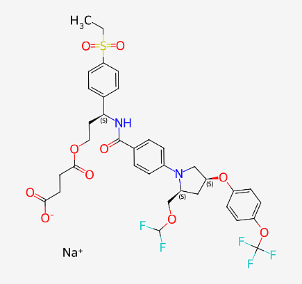 CCS(=O)(=O)c1ccc([C@H](CCOC(=O)CCC(=O)[O-])NC(=O)c2ccc(N3C[C@@H](Oc4ccc(OC(F)(F)F)cc4)C[C@H]3COC(F)F)cc2)cc1.[Na+]